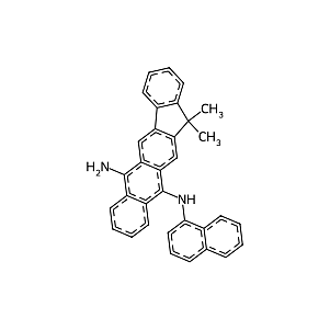 CC1(C)c2ccccc2-c2cc3c(N)c4ccccc4c(Nc4cccc5ccccc45)c3cc21